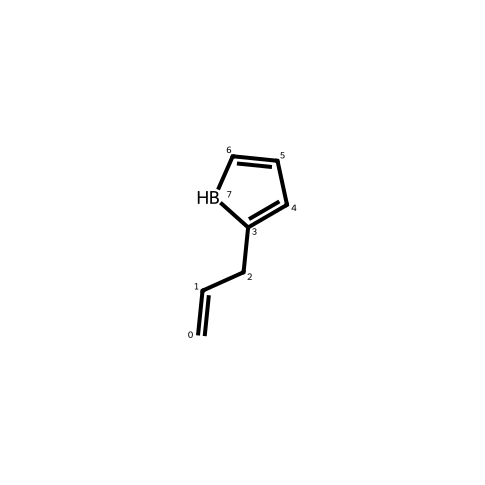 C=CCC1=CC=CB1